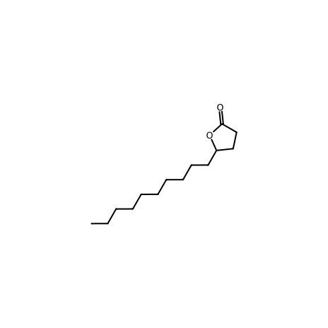 CCCCCCCCCCC1CCC(=O)O1